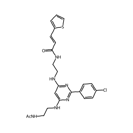 CC(=O)NCCNc1cc(NCCNC(=O)C=Cc2cccs2)nc(-c2ccc(Cl)cc2)n1